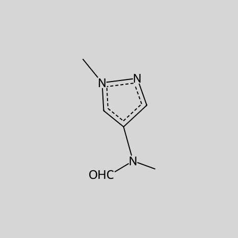 CN(C=O)c1cnn(C)c1